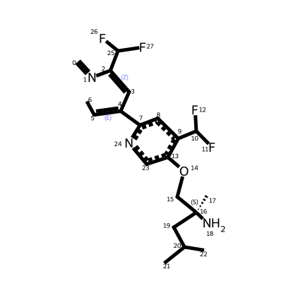 C=N/C(=C\C(=C/C)c1cc(C(F)F)c(OC[C@@](C)(N)CC(C)C)cn1)C(F)F